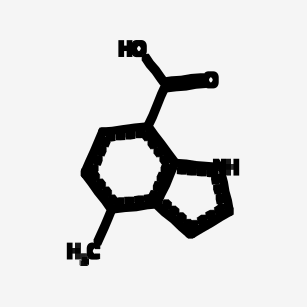 Cc1ccc(C(=O)O)c2[nH]ccc12